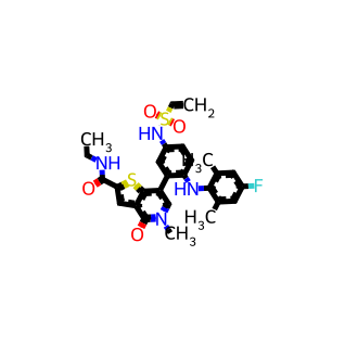 C=CS(=O)(=O)Nc1ccc(Nc2c(C)cc(F)cc2C)c(-c2cn(C)c(=O)c3cc(C(=O)NCC)sc23)c1